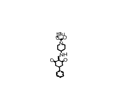 CC(C)(C)OC(=O)N1CCC(NC=C2C(=O)CC(c3ccccc3)CC2=O)CC1